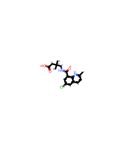 Cc1ccc2cc(Cl)cc(C(=O)NCC(C)(C)CC(=O)O)c2n1